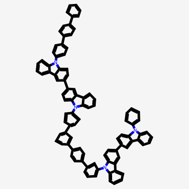 c1ccc(-c2ccc(-c3ccc(-n4c5ccccc5c5cc(-c6ccc7c(c6)c6ccccc6n7-c6ccc(-c7cccc(-c8ccc(-c9cccc(-n%10c%11ccccc%11c%11cc(-c%12ccc%13c(c%12)c%12ccccc%12n%13-c%12ccccc%12)ccc%11%10)c9)cc8)c7)cc6)ccc54)cc3)cc2)cc1